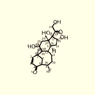 C[C@]12C=CC(=O)C(C1)[C@H](F)CCC1[C@@H]3C[C@@H](O)[C@](O)(C(=O)CO)[C@@]3(C)C[C@H](O)[C@@]12F